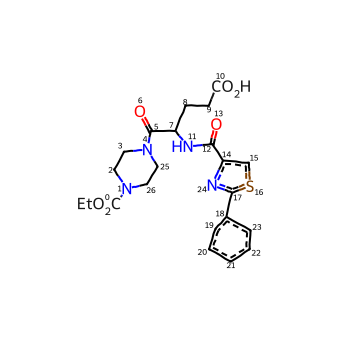 CCOC(=O)N1CCN(C(=O)C(CCC(=O)O)NC(=O)c2csc(-c3ccccc3)n2)CC1